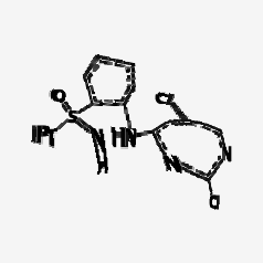 CC(C)S(=N)(=O)c1ccccc1Nc1nc(Cl)ncc1Cl